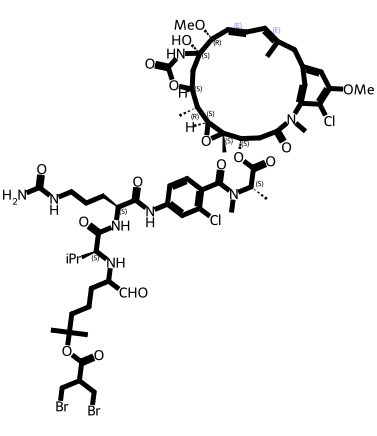 COc1cc2cc(c1Cl)N(C)C(=O)C[C@H](OC(=O)[C@H](C)N(C)C(=O)c1ccc(NC(=O)[C@H](CCCNC(N)=O)NC(=O)[C@@H](NC(C=O)CCCC(C)(C)OC(=O)C(CBr)CBr)C(C)C)cc1Cl)[C@]1(C)O[C@H]1[C@H](C)[C@@H]1C[C@@](O)(NC(=O)O1)[C@H](OC)/C=C/C=C(\C)C2